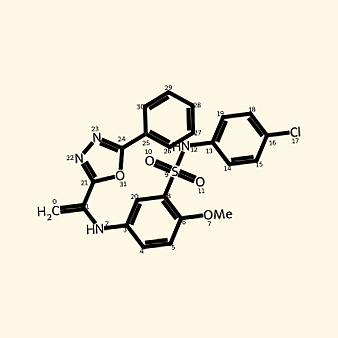 C=C(Nc1ccc(OC)c(S(=O)(=O)Nc2ccc(Cl)cc2)c1)c1nnc(-c2ccccc2)o1